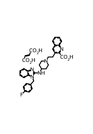 O=C(O)/C=C/C(=O)O.O=C(O)c1nc2ccccc2cc1CCN1CCC(Nc2nc3ccccc3n2Cc2ccc(F)cc2)CC1